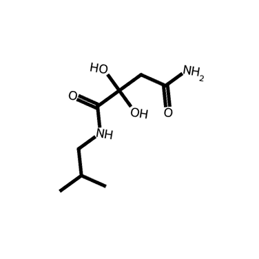 CC(C)CNC(=O)C(O)(O)CC(N)=O